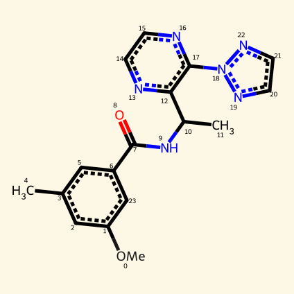 COc1cc(C)cc(C(=O)NC(C)c2nccnc2-n2nccn2)c1